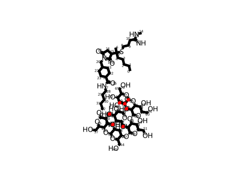 CCCCCC(C)(SCCCC(=N)NC)C1CC(=O)N(CC2CCC(C(=O)NCCCCCO[C@@H]3OC(CO)[C@@H](O[C@@H]4OC(CO)[C@H](O[C@H]5OC(CO)[C@H](O)C(O[C@@H]6OC(CO)[C@H](O)C(O[C@@H]7OC(CO)[C@H](O)C(O)C7O[C@@H]7OC(C)[C@@H](O)C(O)C7O)C6NC(C)=O)C5O)C(O)C4O)C(O)C3O)CC2)C1=O